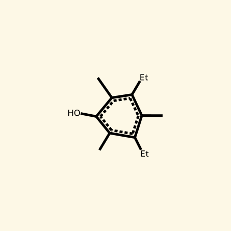 CCc1c(C)c(O)c(C)c(CC)c1C